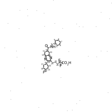 O=C(NCc1ccccc1)c1ccc2nc(-c3ccc(F)cc3)c(CCCC(F)(F)C(=O)O)nc2c1